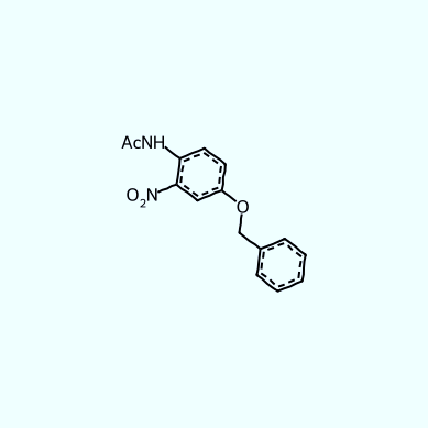 CC(=O)Nc1ccc(OCc2ccccc2)cc1[N+](=O)[O-]